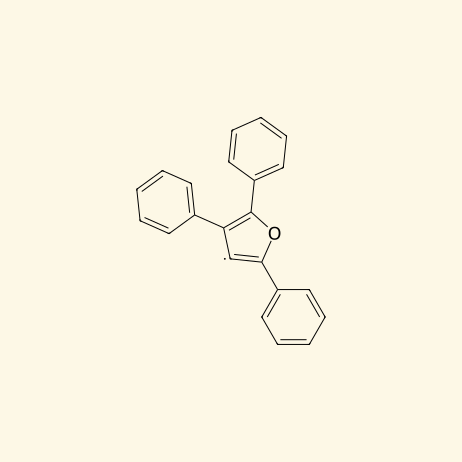 [c]1c(-c2ccccc2)oc(-c2ccccc2)c1-c1ccccc1